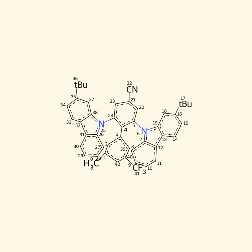 Cc1cc(-c2c(-n3c4ccccc4c4ccc(C(C)(C)C)cc43)cc(C#N)cc2-n2c3ccccc3c3ccc(C(C)(C)C)cc32)cc(C(F)(F)F)c1